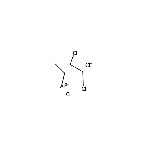 C[CH2][Al+2].ClCCCl.[Cl-].[Cl-]